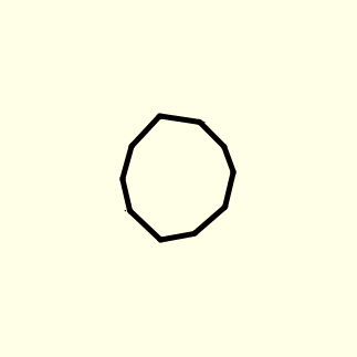 [CH]1CCC[CH]CCCCC1